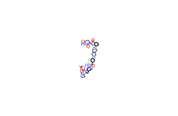 CN1CCC[C@@H]1c1cc2cnc(NC(=O)c3ccc(N4CCC5(CC4)CCN(c4cccc6c4CN(C4CCC(=O)NC4=O)C6=O)CC5)cc3F)cc2n1C(=O)OC(C)(C)C